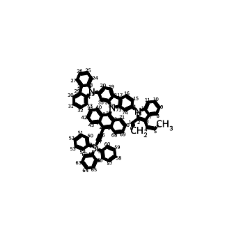 C=Cc1c(/C=C\C)c2ccccc2n1-c1ccc2c3ccc(-n4c5ccccc5c5ccccc54)cc3n(-c3c4ccccc4c(C#C[Si](c4ccccc4)(c4ccccc4)c4ccccc4)c4ccccc34)c2c1